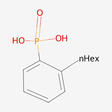 CCCCCCc1ccccc1P(=O)(O)O